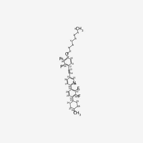 CCCCCCCCOc1ccc(C#Cc2ccc(-c3ccc(C4CCC(C)CC4)c(F)c3F)nc2)c(F)c1F